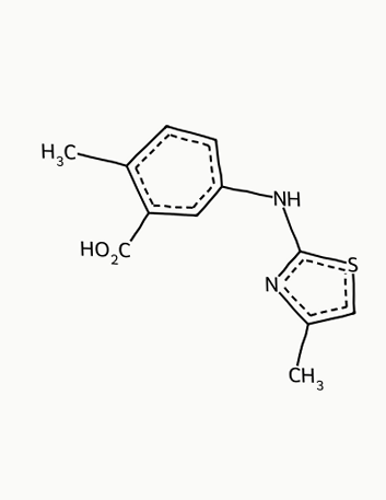 Cc1csc(Nc2ccc(C)c(C(=O)O)c2)n1